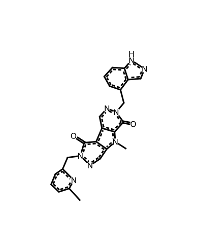 Cc1cccc(Cn2ncc3c(c2=O)c2cnn(Cc4cccc5[nH]ncc45)c(=O)c2n3C)n1